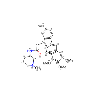 COc1ccc2c(c1)C(CC(=O)NC1CCCN(C)C1)=C(C)C2=Cc1cc(OC)c(OC)c(OC)c1